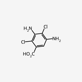 Nc1cc(C(=O)O)c(Cl)c(N)c1Cl